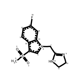 CS(=O)(=O)c1cn(CC2=NCCN2)c2cc(F)ccc12